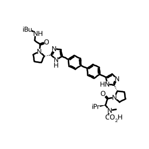 CCC(C)NCC(=O)N1CCC[C@H]1c1ncc(-c2ccc(-c3ccc(-c4cnc([C@@H]5CCCN5C(=O)[C@H](C(C)C)N(C)C(=O)O)[nH]4)cc3)cc2)[nH]1